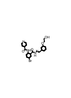 O=C(Nc1ccc(Br)cc1C(=O)NN=Cc1cccc(OCCO)c1)c1ccncc1